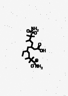 CCC(CC(CC(=O)O)CC(C)C(C)(C)S(N)(=O)=O)CC(C)C(C)(C)S(N)(=O)=O